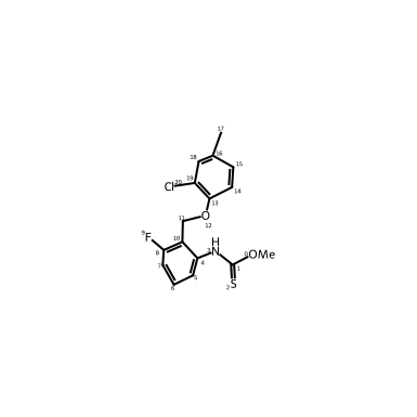 COC(=S)Nc1cccc(F)c1COc1ccc(C)cc1Cl